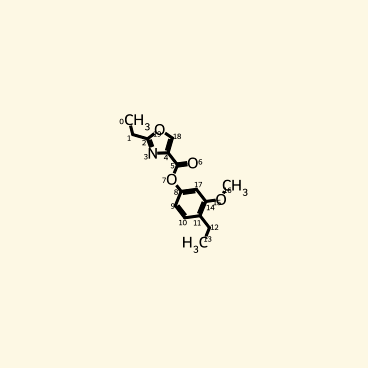 CCc1nc(C(=O)Oc2ccc(CC)c(OC)c2)co1